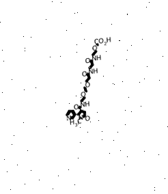 CN1C(=O)C[C@H](C(=O)NCCOCCOCCC(=O)NCCC(=O)NCCOCC(=O)O)[C@H]1c1cccnc1